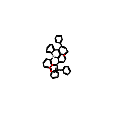 c1ccc(-c2ccccc2-c2ccccc2N(c2ccccc2-c2ccccc2-c2ccccc2)c2cccc3c2sc2ccccc23)cc1